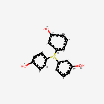 Oc1ccc([S+](c2cccc(O)c2)c2cccc(O)c2)cc1